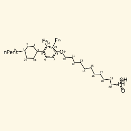 CCCCCC1CCC(c2ccc(OCCCCCCCCCCC[PH](=O)O)c(F)c2F)CC1